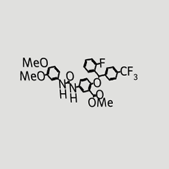 COC(=O)c1cc(NC(=O)Nc2ccc(OC)c(OC)c2)ccc1OC(c1ccc(C(F)(F)F)cc1)c1ccccc1F